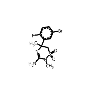 CN1C(N)=NC(C)(c2cc(Br)ccc2F)CS1(=O)=O